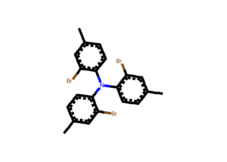 Cc1ccc(N(c2ccc(C)cc2Br)c2ccc(C)cc2Br)c(Br)c1